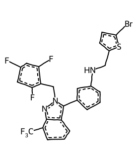 Fc1cc(F)c(Cn2nc3c(C(F)(F)F)cccc3c2-c2cccc(NCc3ccc(Br)s3)c2)c(F)c1